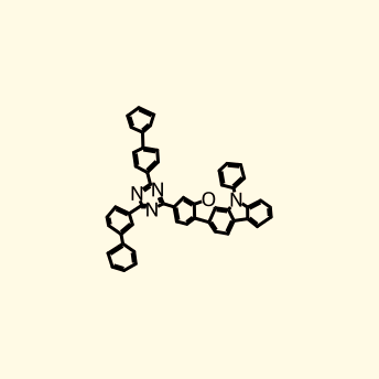 c1ccc(-c2ccc(-c3nc(-c4cccc(-c5ccccc5)c4)nc(-c4ccc5c(c4)oc4c5ccc5c6ccccc6n(-c6ccccc6)c54)n3)cc2)cc1